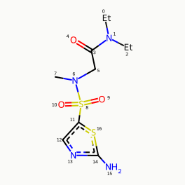 CCN(CC)C(=O)CN(C)S(=O)(=O)c1cnc(N)s1